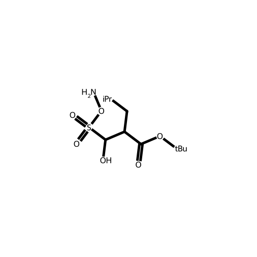 CC(C)CC(C(=O)OC(C)(C)C)C(O)S(=O)(=O)ON